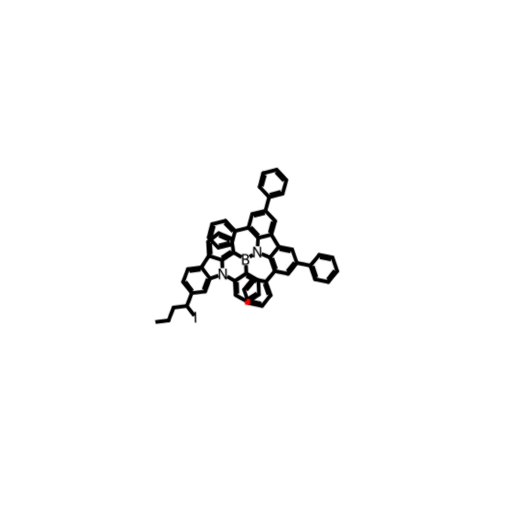 CCCC(I)c1ccc2c3cccc4c3n(c2c1)-c1ccccc1B4n1c2c(-c3ccccc3)cc(-c3ccccc3)cc2c2cc(-c3ccccc3)cc(-c3ccccc3)c21